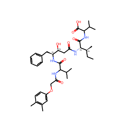 CC[C@H](C)[C@H](NC(=O)C[C@H](O)[C@H](Cc1ccccc1)NC(=O)C(NC(=O)COc1ccc(C)c(C)c1)C(C)C)C(=O)NC(C(=O)O)C(C)C